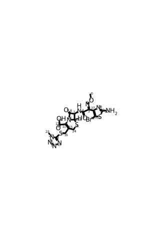 CON=C(C(=O)NC1C(=O)N2C(C(=O)O)=C(CSc3nnnn3C)CS[C@@H]12)c1nc(N)sc1Br